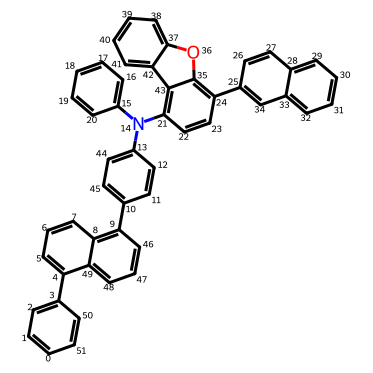 c1ccc(-c2cccc3c(-c4ccc(N(c5ccccc5)c5ccc(-c6ccc7ccccc7c6)c6oc7ccccc7c56)cc4)cccc23)cc1